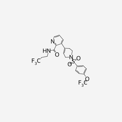 O=C(NCCC(F)(F)F)c1ncccc1C1=CCN(S(=O)(=O)c2ccc(OC(F)(F)F)cc2)CC1